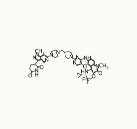 Cn1nc(C2CCC(=O)NC2=O)c2cnc(N3CCN(CC4CCN(c5ncc(Cl)c(Nc6ccc7c(c6)c6c(c(=O)n7C)OCC(F)(F)[C@H](C7CC7)N6)n5)CC4)CC3)cc21